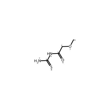 COCC(=O)NC(N)=S